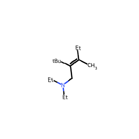 CC/C(C)=C(/CN(CC)CC)C(C)(C)C